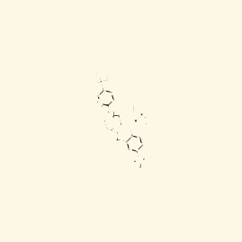 CC(C)(Oc1ccc(S(C)(=O)=O)cc1C(=O)N1CCN(c2ccc(C(F)(F)F)cn2)CC1)C(F)(F)F